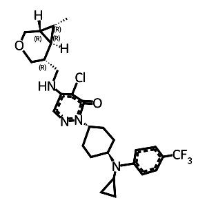 C[C@H]1[C@H]2COC[C@@H](CNc3cnn([C@H]4CC[C@H](N(c5ccc(C(F)(F)F)cc5)C5CC5)CC4)c(=O)c3Cl)[C@H]12